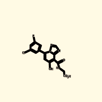 O=C(O)CNC(=O)c1c(O)cc(-c2cc(F)cc(Cl)c2)n2ncnc12